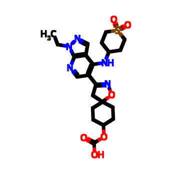 CCn1ncc2c(NC3CCS(=O)(=O)CC3)c(C3=NOC4(CCC(OC(=O)O)CC4)C3)cnc21